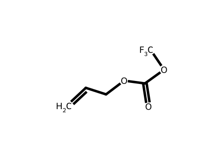 C=CCOC(=O)OC(F)(F)F